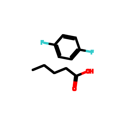 CCCCC(=O)O.Fc1ccc(F)cc1